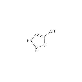 SC1=CNNS1